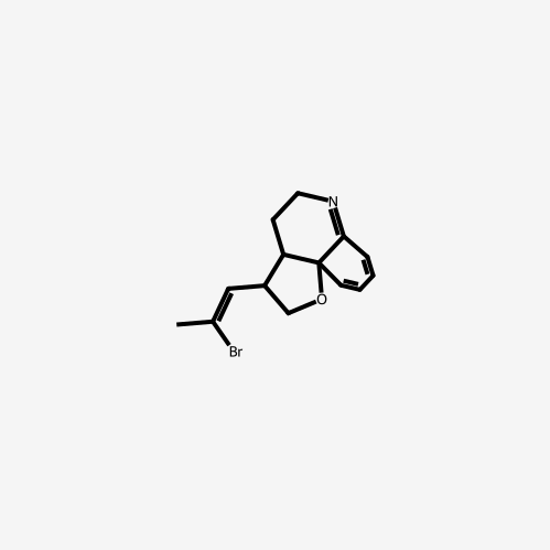 CC(Br)=CC1COC23C=CC=CC2=NCCC13